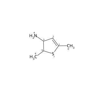 CC1=CC(N)C(C)S1